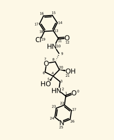 O=C(NC[C@]1(O)CO[C@H](CNC(=O)c2ccccc2Cl)[C@H]1O)c1ccncc1